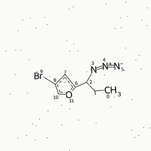 CCC(N=[N+]=[N-])c1cc(Br)co1